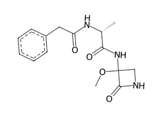 COC1(NC(=O)[C@@H](C)NC(=O)Cc2ccccc2)CNC1=O